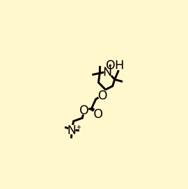 CC1(C)CC(OCC(=O)OCC[N+](C)(C)C)CC(C)(C)N1O